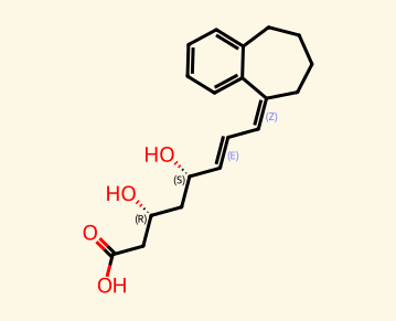 O=C(O)C[C@H](O)C[C@H](O)/C=C/C=C1/CCCCc2ccccc21